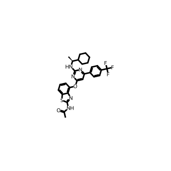 CC(=O)Nc1nc2c(Oc3cc(-c4ccc(C(F)(F)F)cc4)nc(N[C@@H](C)C4CCCCC4)n3)cccc2s1